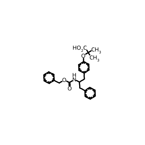 CC(C)(Oc1ccc(CC(Cc2ccccc2)NC(=O)OCc2ccccc2)cc1)C(=O)O